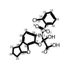 O=C(O)C(O)(NS(=O)(=O)c1ccccc1Cl)Oc1cccc2c1OC1CCCC21